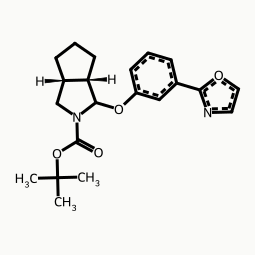 CC(C)(C)OC(=O)N1C[C@@H]2CCC[C@@H]2C1Oc1cccc(-c2ncco2)c1